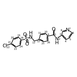 O=C(Nc1cccnc1)c1ccc(CNS(=O)(=O)c2ccc(Cl)cc2)cc1